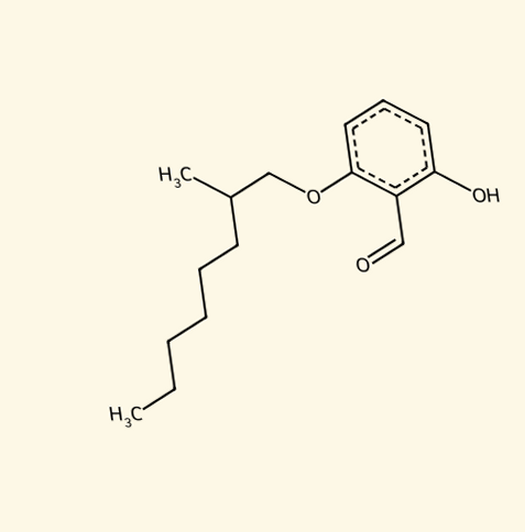 CCCCCCC(C)COc1cccc(O)c1C=O